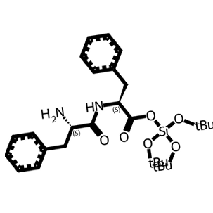 CC(C)(C)O[Si](OC(=O)[C@H](Cc1ccccc1)NC(=O)[C@@H](N)Cc1ccccc1)(OC(C)(C)C)OC(C)(C)C